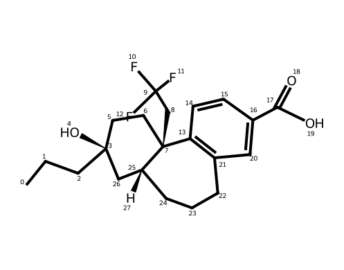 CCC[C@]1(O)CC[C@]2(CC(F)(F)F)c3ccc(C(=O)O)cc3CCC[C@@H]2C1